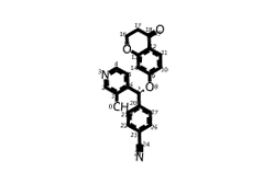 Cc1cnccc1[C@H](Oc1ccc2c(c1)OCCC2=O)c1ccc(C#N)cc1